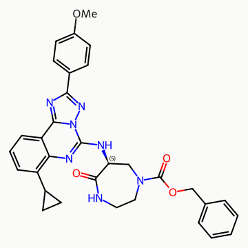 COc1ccc(-c2nc3c4cccc(C5CC5)c4nc(N[C@H]4CN(C(=O)OCc5ccccc5)CCNC4=O)n3n2)cc1